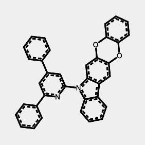 c1ccc(-c2cc(-c3ccccc3)nc(-n3c4ccccc4c4cc5c(cc43)Oc3ccccc3O5)c2)cc1